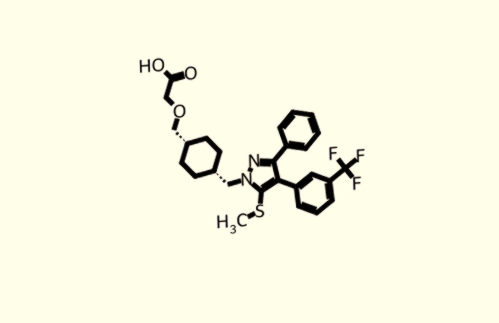 CSc1c(-c2cccc(C(F)(F)F)c2)c(-c2ccccc2)nn1C[C@H]1CC[C@@H](COCC(=O)O)CC1